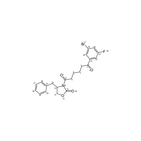 O=C(CCCCC(=O)N1C(=O)OCC1Cc1ccccc1)c1cc(F)cc(Br)c1